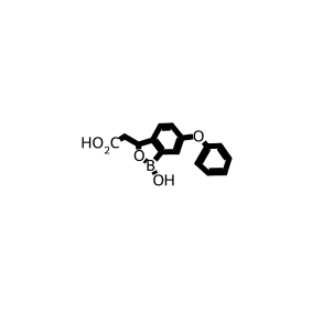 O=C(O)CC1OB(O)c2cc(Oc3ccccc3)ccc21